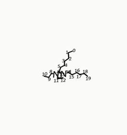 CCCCCCc1n(CCC)cc[n+]1CCCCCC